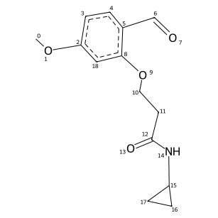 COc1ccc(C=O)c(OCCC(=O)NC2CC2)c1